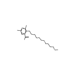 C=C(C)c1cc(C)cc(C)c1CCCCCCCCCCCCC